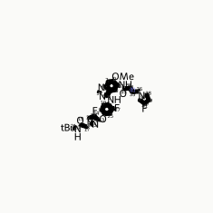 COc1cc2ncnc(Nc3ccc(Oc4nn(CC(=O)NC(C)(C)C)cc4F)cc3F)c2cc1NC(=O)/C=C/CN1CCC(F)C1